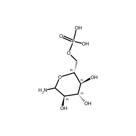 NC1O[C@H](COP(=O)(O)O)[C@@H](O)[C@H](O)[C@H]1O